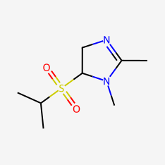 CC1=NCC(S(=O)(=O)C(C)C)N1C